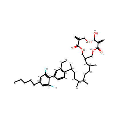 C=C(CO)C(=O)OCC(COC(=O)C(=C)CO)CC(C)CCC(C)C(C)CCC(C)c1ccc(-c2c(F)cc(CCCCC)cc2F)cc1CC